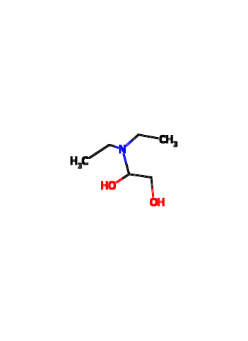 CCN(CC)C(O)CO